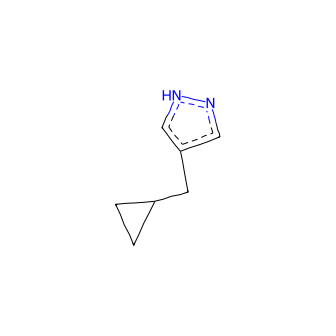 c1n[nH]cc1CC1CC1